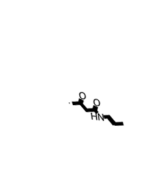 [CH2]C(=O)CC(=O)NC=CC